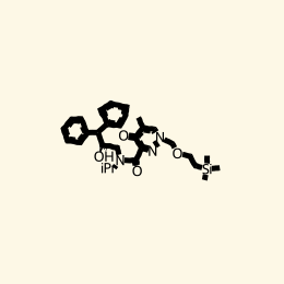 Cc1cn(COCC[Si](C)(C)C)nc(C(=O)N(C[C@H](O)C(c2ccccc2)c2ccccc2)C(C)C)c1=O